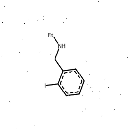 CCNCc1ccccc1I